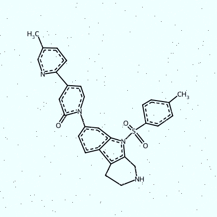 Cc1ccc(S(=O)(=O)n2c3c(c4ccc(-n5ccc(-c6ccc(C)cn6)cc5=O)cc42)CCNC3)cc1